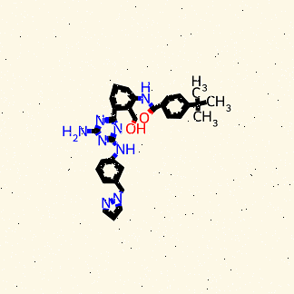 CC(C)(C)c1ccc(C(=O)Nc2cccc(-c3nc(N)nc(Nc4cccc(Cn5cccn5)c4)n3)c2CO)cc1